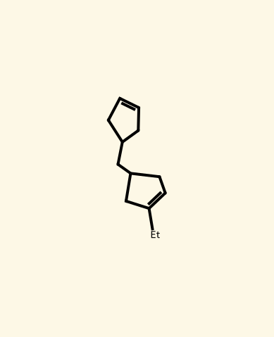 CCC1=CCC(CC2CC=CC2)C1